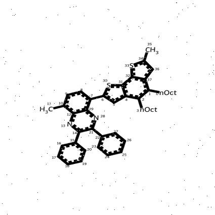 CCCCCCCCc1c(CCCCCCCC)c2cc(-c3ccc(C)c4nc(-c5ccccc5)c(-c5ccccc5)nc34)sc2c2sc(C)cc12